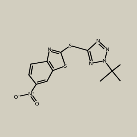 CC(C)(C)n1nnc(Sc2nc3ccc([N+](=O)[O-])cc3s2)n1